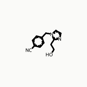 N#Cc1ccc(Cn2ccnc2CCO)cc1